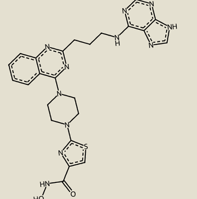 O=C(NO)c1csc(N2CCN(c3nc(CCCNc4ncnc5[nH]cnc45)nc4ccccc34)CC2)n1